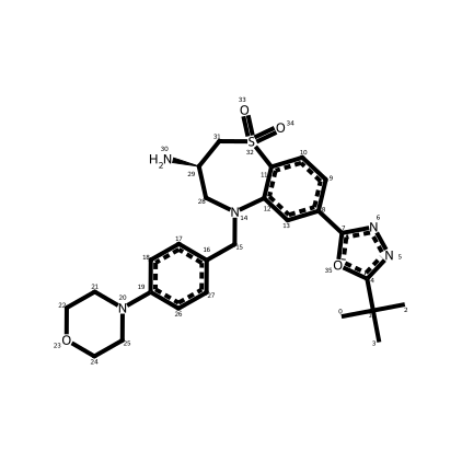 CC(C)(C)c1nnc(-c2ccc3c(c2)N(Cc2ccc(N4CCOCC4)cc2)C[C@@H](N)CS3(=O)=O)o1